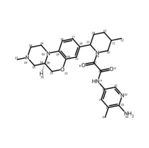 Cc1cc(NC(=O)C(=O)N2CC(C)CCC2c2ccc3c(c2)OC[C@H]2CN(C)CCN32)cnc1N